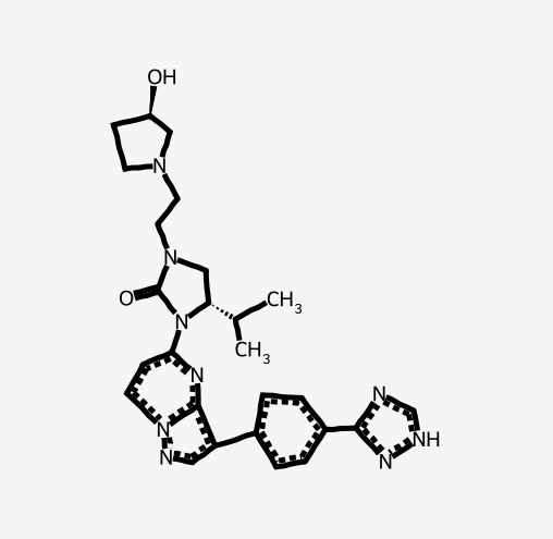 CC(C)[C@H]1CN(CCN2CC[C@@H](O)C2)C(=O)N1c1ccn2ncc(-c3ccc(-c4nc[nH]n4)cc3)c2n1